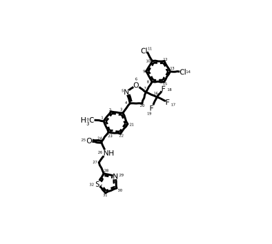 Cc1cc(C2=NOC(c3cc(Cl)cc(Cl)c3)(C(F)(F)F)C2)ccc1C(=O)NCc1nccs1